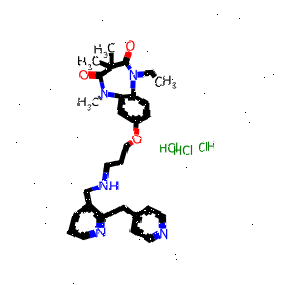 CCN1C(=O)C(C)(C)C(=O)N(C)c2cc(OCCCNCc3cccnc3Cc3ccncc3)ccc21.Cl.Cl.Cl